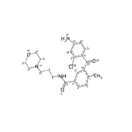 Cc1ccc(C(=O)NCCCN2CCOCC2)cc1C(=O)c1ccc(N)cc1Cl